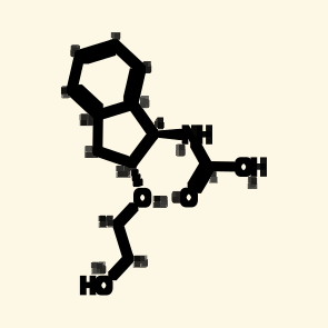 O=C(O)N[C@@H]1c2ccccc2C[C@H]1OCCO